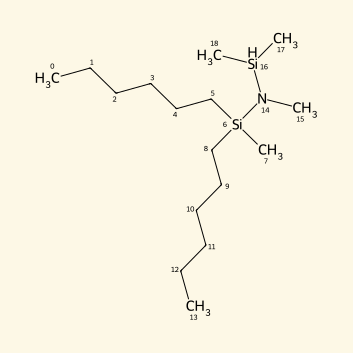 CCCCCC[Si](C)(CCCCCC)N(C)[SiH](C)C